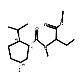 CCC(C(=O)OC)N(C)C(=O)[C@@H]1C[C@H](C)CC[C@H]1C(C)C